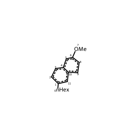 CCCCCCc1ccc2cc(OC)ccc2c1